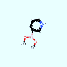 CCOB(OCC)c1cccnc1